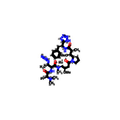 CC[C@H](C)[C@@H]([C@@H](CC(=O)N1CCC[C@H]1[C@H](OC)[C@@H](C)C(=O)N[C@@H](Cc1ccccc1)c1nnn[nH]1)OC)N(C)C(=O)[C@@H](NC(=O)[C@H](C(C)C)N(C)C)[C@H](C)N=[N+]=[N-]